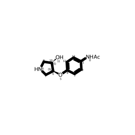 CC(=O)Nc1ccc(O[C@H]2CNC[C@@H]2O)cc1